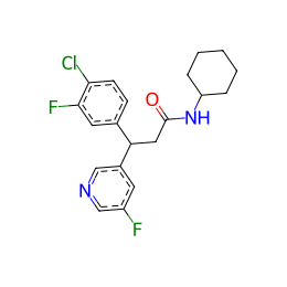 O=C(CC(c1cncc(F)c1)c1ccc(Cl)c(F)c1)NC1CCCCC1